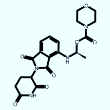 C[C@@H](Nc1cccc2c1C(=O)N(C1CCC(=O)NC1=O)C2=O)OC(=O)N1CCOCC1